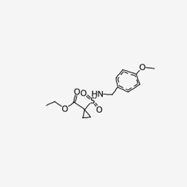 CCOC(=O)C1(S(=O)(=O)NCc2ccc(OC)cc2)CC1